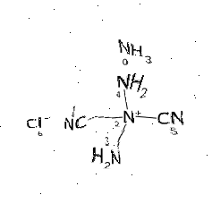 N.N#C[N+](N)(N)C#N.[Cl-]